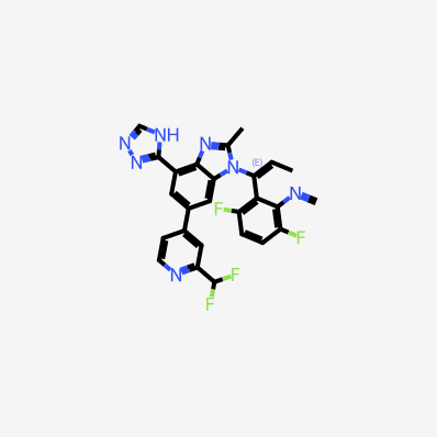 C=Nc1c(F)ccc(F)c1/C(=C\C)n1c(C)nc2c(-c3nnc[nH]3)cc(-c3ccnc(C(F)F)c3)cc21